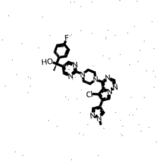 Cn1cc(-c2cn3ncnc(N4CCN(c5ncc([C@](C)(O)C6C=CC(F)=CC6)cn5)CC4)c3c2Cl)cn1